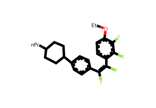 CCCC1CCC(c2ccc(/C(F)=C(/F)c3ccc(OCC)c(F)c3F)cc2)CC1